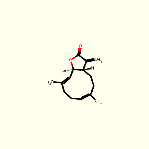 C=C1C(=O)O[C@@H]2/C=C(\C)CC/C=C(/C)CC[C@@H]12